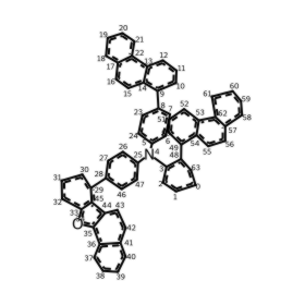 c1ccc(N(c2ccc(-c3cccc4c3ccc3ccccc34)cc2)c2ccc(-c3cccc4oc5c6ccccc6ccc5c34)cc2)c(-c2cccc3c2ccc2ccccc23)c1